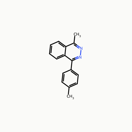 Cc1ccc(-c2nnc(C)c3ccccc23)cc1